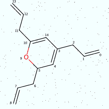 C=CCC1=CC(CC=C)OC(CC=C)=C1